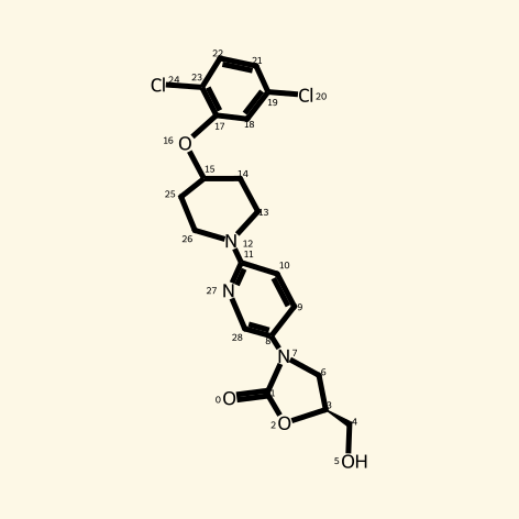 O=C1O[C@H](CO)CN1c1ccc(N2CCC(Oc3cc(Cl)ccc3Cl)CC2)nc1